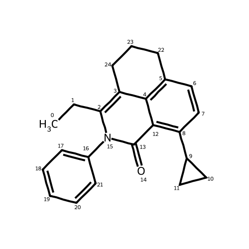 CCc1c2c3c(ccc(C4CC4)c3c(=O)n1-c1ccccc1)CCC2